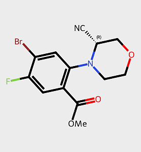 COC(=O)c1cc(F)c(Br)cc1N1CCOC[C@H]1C#N